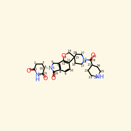 O=C1CC[C@H](N2Cc3c(ccc4c3OCC43CCN(C(=O)C4CCNCC4)CC3)C2=O)C(=O)N1